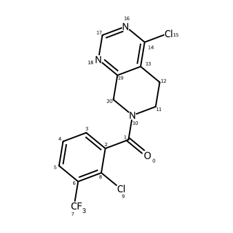 O=C(c1cccc(C(F)(F)F)c1Cl)N1CCc2c(Cl)ncnc2C1